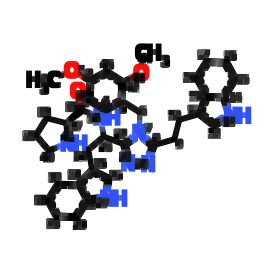 COc1ccc(Cn2c(CCc3c[nH]c4ccccc34)nnc2C(Cc2c[nH]c3ccccc23)NC(=O)[C@@H]2CCCN2)c(OC)c1